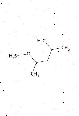 CC(C)CC(C)O[SiH3]